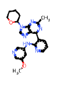 COc1cncc(Nc2ncccc2-c2nc(C)nc3c2ncn3C2CCCCO2)c1